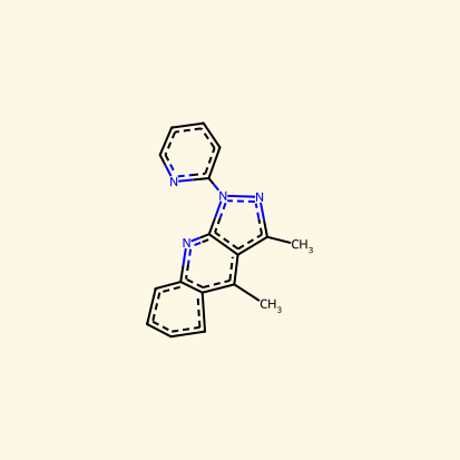 Cc1nn(-c2ccccn2)c2nc3ccccc3c(C)c12